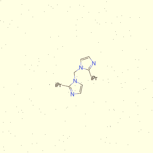 CC(C)c1nccn1Cn1ccnc1C(C)C